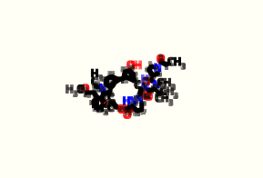 CCC(=O)N1CC[C@H](C(=O)N(C)[C@H](C(=O)N[C@H]2Cc3cc(O)cc(c3)-c3ccc4c(c3)c(c(-c3ccccc3CCOC)n4CC)CC(C)(C)COC(=O)[C@@]3(O)CCCN(N3)C2=O)C(C)C)C1